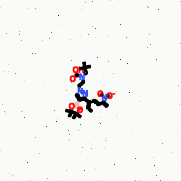 C=C(C=CC(=CC)c1nn(CCN(CC(C)(C)C)C(=O)O)cc1B1OC(C)(C)C(C)(C)O1)[N+](=O)[O-]